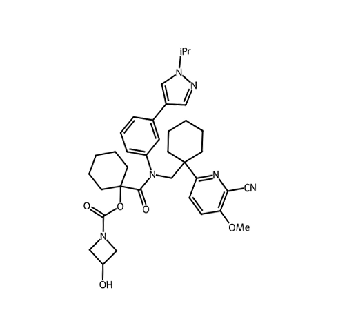 COc1ccc(C2(CN(C(=O)C3(OC(=O)N4CC(O)C4)CCCCC3)c3cccc(-c4cnn(C(C)C)c4)c3)CCCCC2)nc1C#N